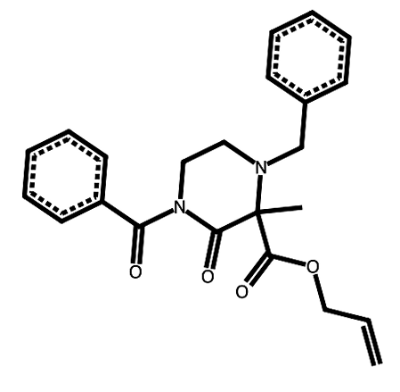 C=CCOC(=O)C1(C)C(=O)N(C(=O)c2ccccc2)CCN1Cc1ccccc1